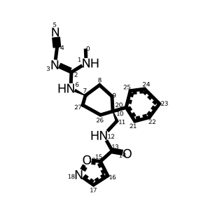 CN/C(=N\C#N)N[C@H]1CC[C@](CNC(=O)c2ccno2)(c2ccccc2)CC1